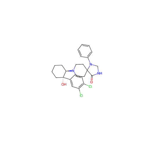 O=C1NCN(c2ccccc2)C12CCN([C@@H]1CCCC[C@]1(O)c1ccc(Cl)c(Cl)c1)CC2